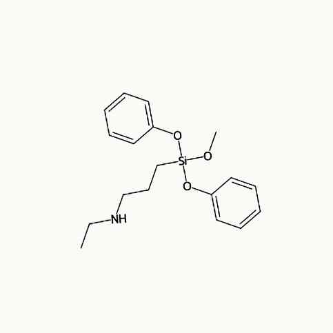 CCNCCC[Si](OC)(Oc1ccccc1)Oc1ccccc1